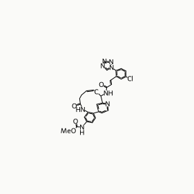 COC(=O)Nc1ccc2c(c1)NC(=O)CCC=CCC(NC(=O)C=Cc1cc(Cl)ccc1-n1cnnn1)c1cc-2ccn1